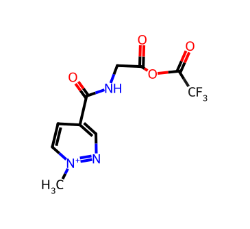 C[n+]1ccc(C(=O)NCC(=O)OC(=O)C(F)(F)F)cn1